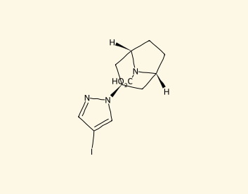 O=C(O)N1[C@@H]2CC[C@H]1C[C@H](n1cc(I)cn1)C2